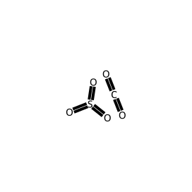 O=C=O.O=S(=O)=O